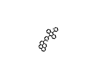 c1ccc(-c2c3ccccc3c(-c3ccc(-c4ccc5ccc6cccc7ccc4c5c67)nc3)c3ccccc23)nc1